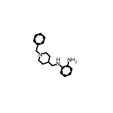 Nc1ccccc1NCC1CCN(Cc2ccccc2)CC1